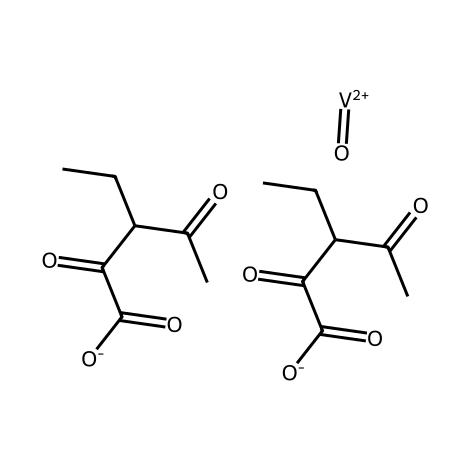 CCC(C(C)=O)C(=O)C(=O)[O-].CCC(C(C)=O)C(=O)C(=O)[O-].[O]=[V+2]